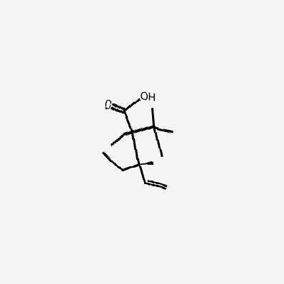 C=C[C@](C)(CC)C(C)(C(=O)O)C(C)(C)C